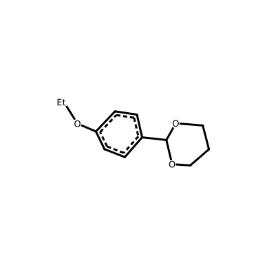 CCOc1ccc(C2OCCCO2)cc1